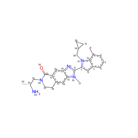 Cc1cccc2cc(-c3nc4cc5c(cc4n3C)CCN(C[C@@H](C)N)C5=O)n(CC3CC3)c12